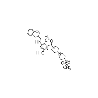 Cc1nc(NCC2COc3ccccc3C2)c(C)c(C(=O)N2CCC(N3CCC(NS(C)(=O)=O)CC3)CC2)n1